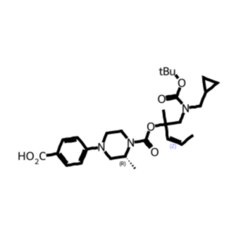 C/C=C\C(C)(CN(CC1CC1)C(=O)OC(C)(C)C)OC(=O)N1CCN(c2ccc(C(=O)O)cc2)C[C@H]1C